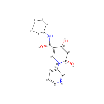 O=C(NC1CCCCC1)c1cn(-c2cccnc2)c(=O)cc1O